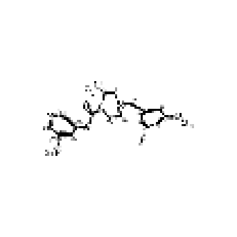 C[C@@H]1CN(Cc2cc(F)cc(OC(F)(F)F)c2)CCN1C(=O)Oc1cncc(F)c1